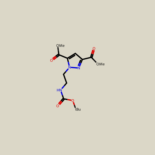 COC(=O)c1cc(C(=O)OC)n(CCNC(=O)OC(C)(C)C)n1